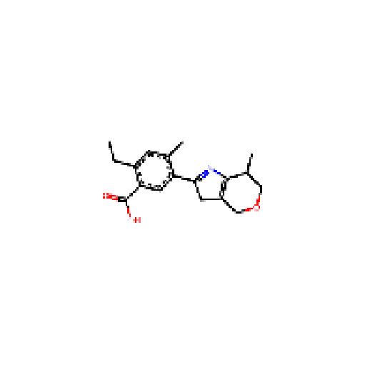 CCc1cc(C)c(C2=NC3=C(COCC3C)C2)cc1C(=O)O